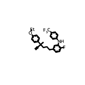 C#CC(C)(CCCc1ccc(F)c(Nc2ccc(C(F)(F)F)cc2)c1)c1ccc(OCC)cc1